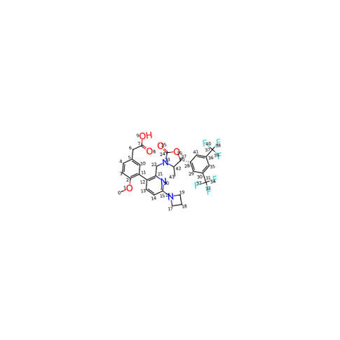 COc1ccc(CC(=O)O)cc1-c1ccc(N2CCC2)nc1CN1C(=O)O[C@H](c2cc(C(F)(F)F)cc(C(F)(F)F)c2)C1C